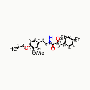 C#CCOc1ccc(CCNC(=O)[C@@H](Cc2ccc(CC)cc2)OCC)cc1OC